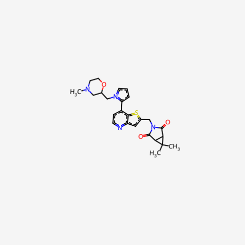 CN1CCOC(Cn2cccc2-c2ccnc3cc(CN4C(=O)C5C(C4=O)C5(C)C)sc23)C1